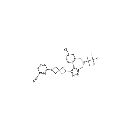 CC(C)(N1Cc2cc(Cl)ccc2-n2c(nnc2C2CC3(C2)CN(c2nccc(C#N)n2)C3)C1)C(F)(F)F